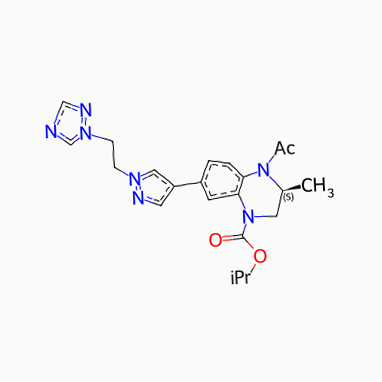 CC(=O)N1c2ccc(-c3cnn(CCn4cncn4)c3)cc2N(C(=O)OC(C)C)C[C@@H]1C